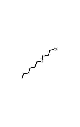 CCCCCCOOCCO